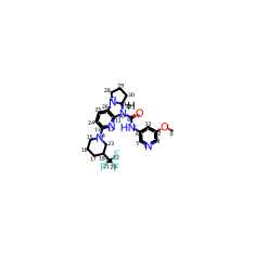 COc1cncc(NC(=O)N2c3nc(N4CCCC(C(F)(F)F)C4)ccc3N3CCC[C@H]32)c1